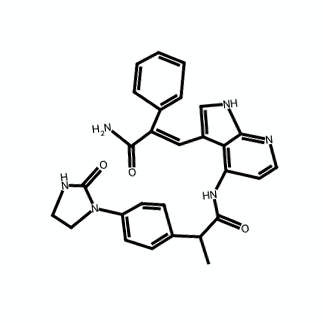 CC(C(=O)Nc1ccnc2[nH]cc(C=C(C(N)=O)c3ccccc3)c12)c1ccc(N2CCNC2=O)cc1